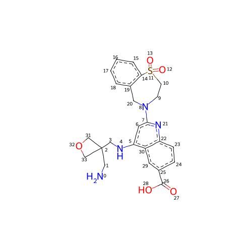 NCC1(CNc2cc(N3CCS(=O)(=O)c4ccccc4C3)nc3ccc(C(=O)O)cc23)COC1